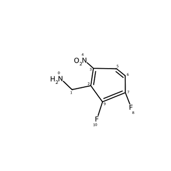 NCc1c([N+](=O)[O-])ccc(F)c1F